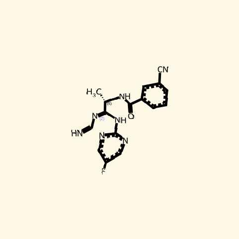 C[C@H](NC(=O)c1cccc(C#N)c1)/C(=N/C=N)Nc1ncc(F)cn1